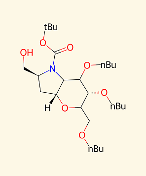 CCCCOCC1O[C@@H]2C[C@@H](CO)N(C(=O)OC(C)(C)C)C2C(OCCCC)[C@@H]1OCCCC